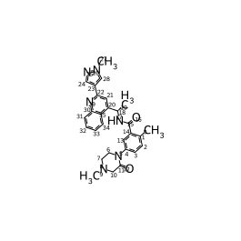 Cc1ccc(N2CCN(C)CC2=O)cc1C(=O)N[C@H](C)c1cc(-c2cnn(C)c2)nc2ccccc12